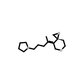 C/C(CCCN1CCCC1)=C1/COCC[C@]12CO2